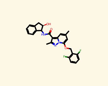 Cc1cc(OCc2c(F)cccc2F)n2nc(C)c(C(=O)NC3c4ccccc4C[C@H]3O)c2c1